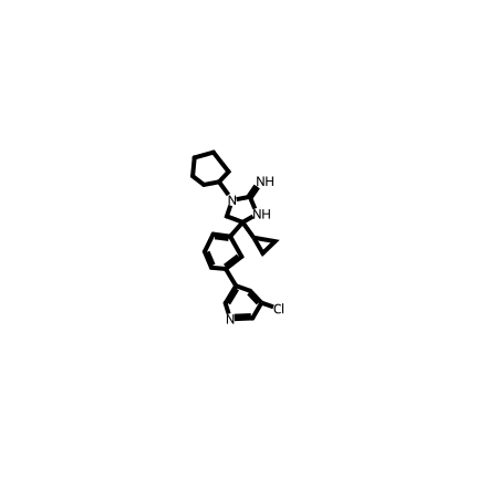 N=C1NC(c2cccc(-c3cncc(Cl)c3)c2)(C2CC2)CN1C1CCCCC1